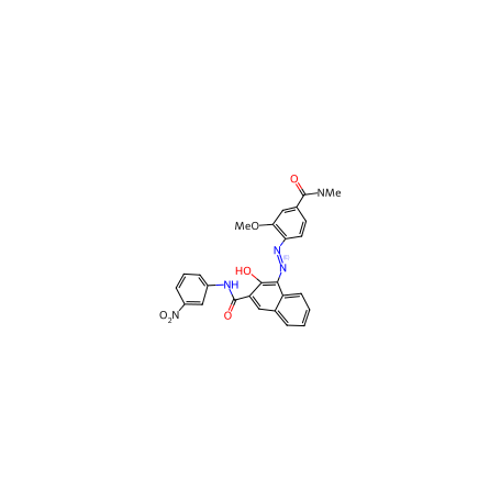 CNC(=O)c1ccc(/N=N/c2c(O)c(C(=O)Nc3cccc([N+](=O)[O-])c3)cc3ccccc23)c(OC)c1